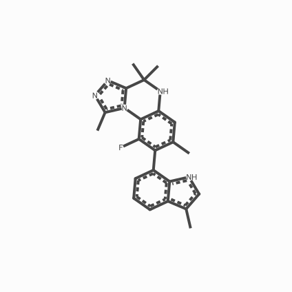 Cc1cc2c(c(F)c1-c1cccc3c(C)c[nH]c13)-n1c(C)nnc1C(C)(C)N2